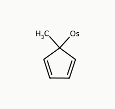 C[C]1([Os])C=CC=C1